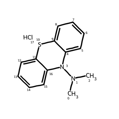 CN(C)N1c2ccccc2Sc2ccccc21.Cl